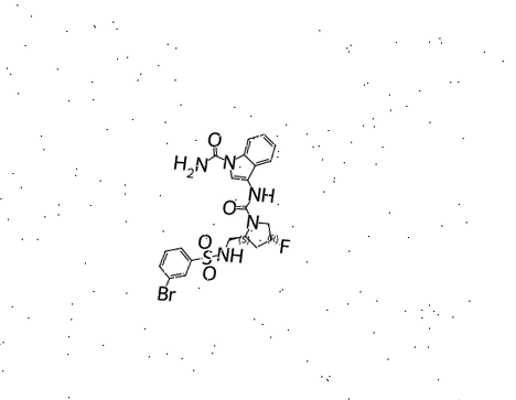 NC(=O)n1cc(NC(=O)N2C[C@H](F)C[C@H]2CNS(=O)(=O)c2cccc(Br)c2)c2ccccc21